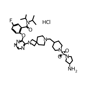 CC(C)N(C(=O)c1cc(F)ccc1Oc1nncnc1N1CC2(CCN(CC3CCN(S(=O)(=O)N4CC[C@@H](N)C4)CC3)CC2)C1)C(C)C.Cl